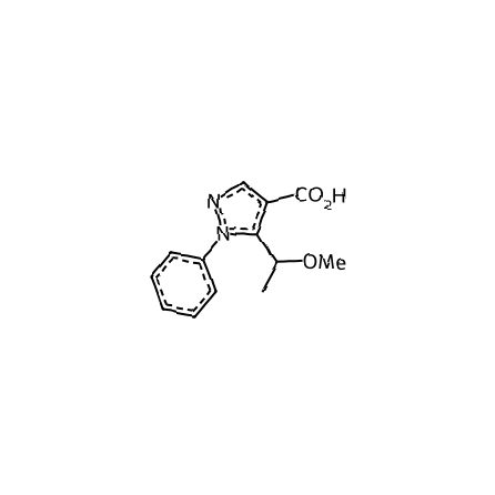 COC(C)c1c(C(=O)O)cnn1-c1ccccc1